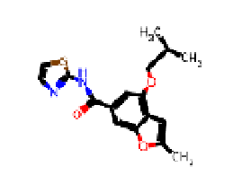 Cc1cc2c(OCC(C)C)cc(C(=O)Nc3nccs3)cc2o1